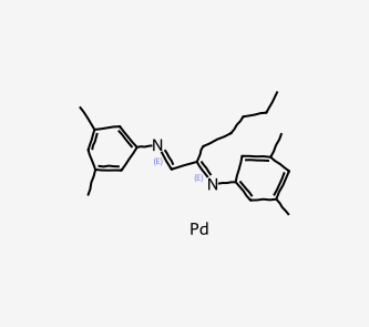 CCCCCC(/C=N/c1cc(C)cc(C)c1)=N\c1cc(C)cc(C)c1.[Pd]